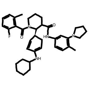 Cc1ccc(NC(=O)C2CCCN(C(=O)c3c(C)cccc3F)C2[C@@H]2C=CC(NC3CCCCC3)=CC2)cc1N1CCCC1